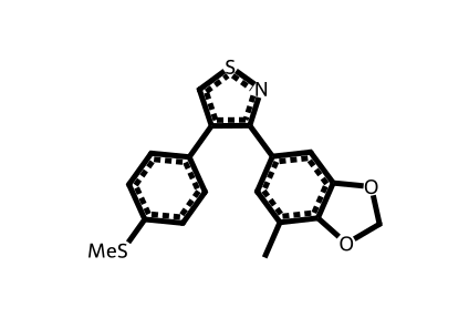 CSc1ccc(-c2csnc2-c2cc(C)c3c(c2)OCO3)cc1